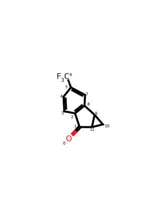 O=C1c2ccc(C(F)(F)F)cc2C2CC12